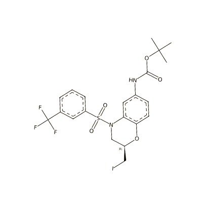 CC(C)(C)OC(=O)Nc1ccc2c(c1)N(S(=O)(=O)c1cccc(C(F)(F)F)c1)C[C@H](CI)O2